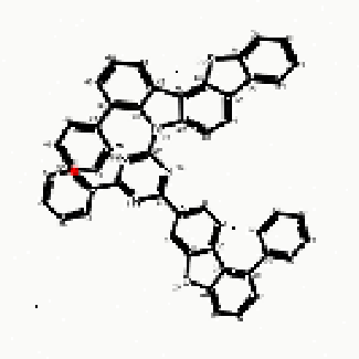 c1ccc(-c2nc(-c3ccc4c(c3)oc3cccc(-c5ccccc5)c34)nc(-n3c4ccc5c6ccccc6sc5c4c4cccc(-c5ccccc5)c43)n2)cc1